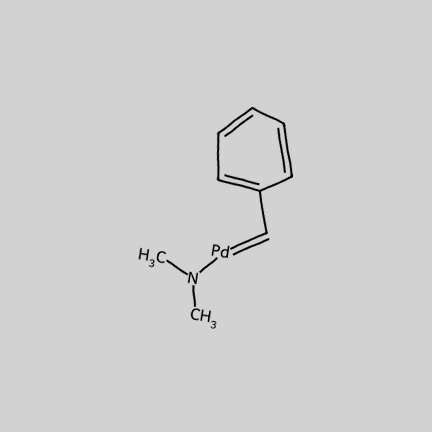 C[N](C)[Pd]=[CH]c1ccccc1